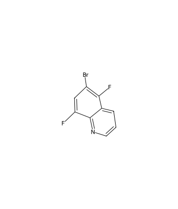 Fc1c(Br)cc(F)c2ncccc12